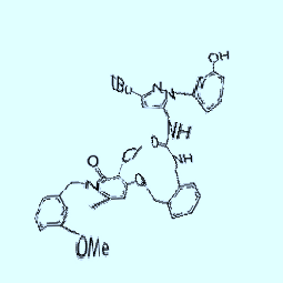 COc1cccc(Cn2c(C)cc(OCc3ccccc3CNC(=O)Nc3cc(C(C)(C)C)nn3-c3cccc(O)c3)c(Cl)c2=O)c1